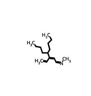 C=C/C(=C\C=N/C)C(CCCC)CCCC